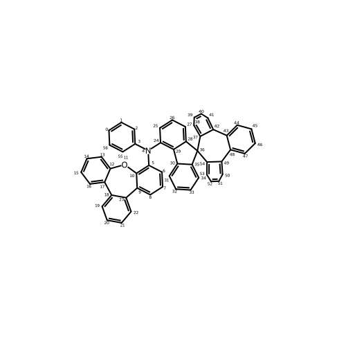 c1ccc(N(c2cccc3c2Oc2ccccc2-c2ccccc2-3)c2cccc3c2-c2ccccc2C32c3ccccc3-c3ccccc3-c3ccccc32)cc1